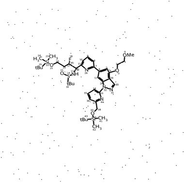 COCCOc1cc(-c2cccc([C@@H](N[S+]([O-])C(C)(C)C)[C@H](F)CCO[Si](C)(C)C(C)(C)C)n2)cc2c1cnn2-c1cccc(CO[Si](C)(C)C(C)(C)C)n1